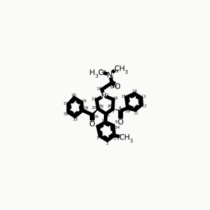 Cc1cccc(C2[C@@H](C(=O)c3ccccc3)CN(CC(=O)N(C)C)C[C@@H]2C(=O)c2ccccc2)c1